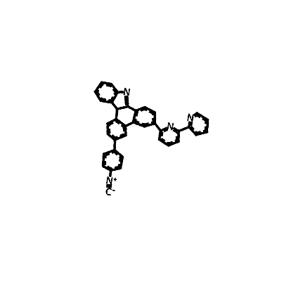 [C-]#[N+]c1ccc(-c2ccc3c(c2)-c2cc(-c4cccc(-c5ccccn5)n4)ccc2C2=Nc4ccccc4C23)cc1